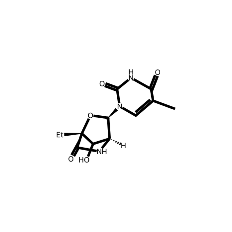 CC[C@]12O[C@@H](n3cc(C)c(=O)[nH]c3=O)[C@@H](NC1=O)C2O